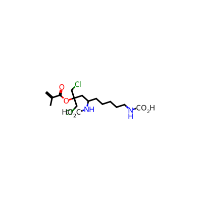 C=C(C)C(=O)OC(CCl)(CCl)CC(CCCCCNC(=O)O)NC(=O)O